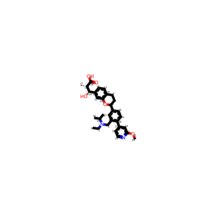 CCN(Cc1cc(C2CCc3ccc([C@H](O)[C@H](C)C(=O)O)cc3O2)ccc1-c1ccnc(OC)c1)C(C)C